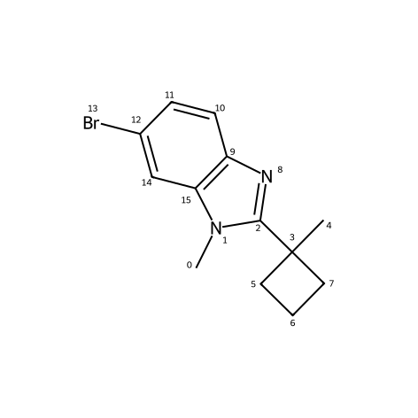 Cn1c(C2(C)CCC2)nc2ccc(Br)cc21